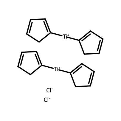 C1=CC[C]([Ti+][C]2=CC=CC2)=C1.C1=CC[C]([Ti+][C]2=CC=CC2)=C1.[Cl-].[Cl-]